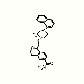 C[C@@H]1CN(c2cccc3ccccc23)CCN1CCC1OCCc2cc(C(N)=O)ccc21